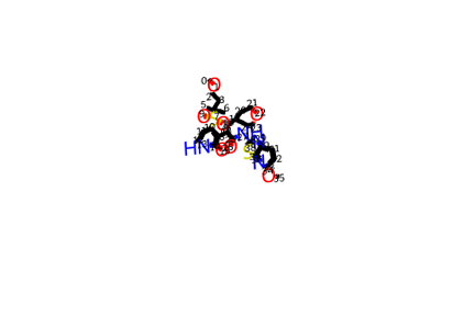 COCCC(C)(C)S(=O)(=O)c1cc[nH]c(=O)c1[C@@H](CC1CCOCC1)C(=O)Nc1nc2ccc(OC)nc2s1